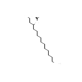 CCCCCCCCCCCCC(CCC)OC(C)=O